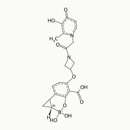 Cc1c(O)c(=O)ccn1CC(=O)N1CC(Oc2ccc3c(c2C(=O)O)O[B-](O)(O)[C@@H]2CC32)C1